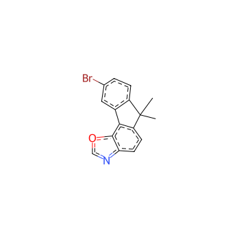 CC1(C)c2ccc(Br)cc2-c2c1ccc1ncoc21